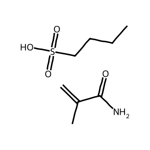 C=C(C)C(N)=O.CCCCS(=O)(=O)O